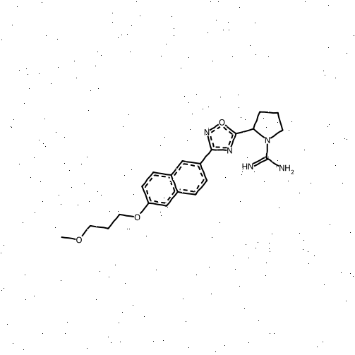 COCCCOc1ccc2cc(-c3noc(C4CCCN4C(=N)N)n3)ccc2c1